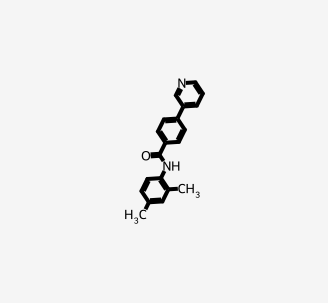 Cc1ccc(NC(=O)c2ccc(-c3cccnc3)cc2)c(C)c1